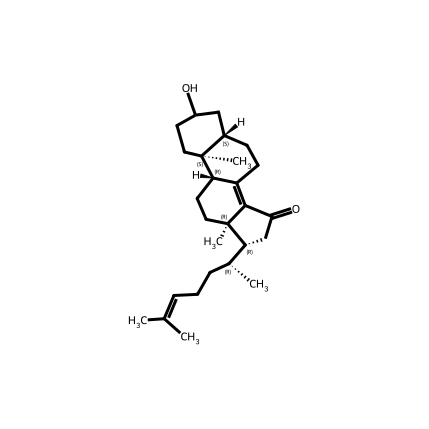 CC(C)=CCC[C@@H](C)[C@H]1CC(=O)C2=C3CC[C@H]4CC(O)CC[C@]4(C)[C@H]3CC[C@@]21C